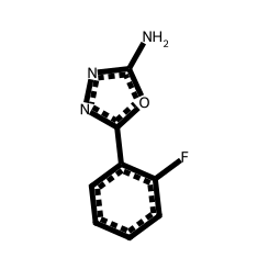 Nc1nnc(-c2ccccc2F)o1